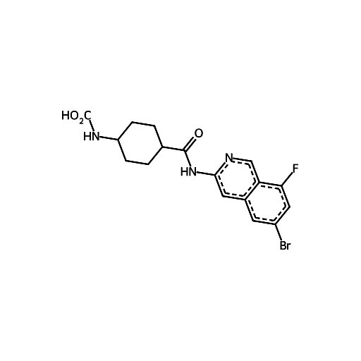 O=C(O)NC1CCC(C(=O)Nc2cc3cc(Br)cc(F)c3cn2)CC1